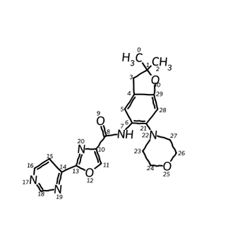 CC1(C)Cc2cc(NC(=O)c3coc(-c4ccncn4)n3)c(N3CCOCC3)cc2O1